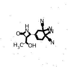 C[C@@H](O)[C@H]1C(=O)N[C@@H]1C1=CCC(C#N)(C#N)C(C#N)(C#N)C1